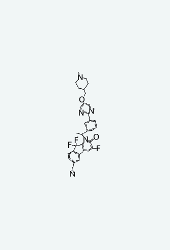 CC(c1cccc(-c2ncc(OCC3CCN(C)CC3)cn2)c1)n1c2c(cc(F)c1=O)-c1cc(C#N)ccc1C2(F)F